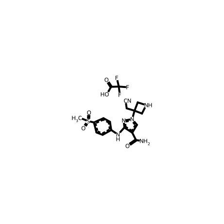 CS(=O)(=O)c1ccc(Nc2nn(C3(CC#N)CNC3)cc2C(N)=O)cc1.O=C(O)C(F)(F)F